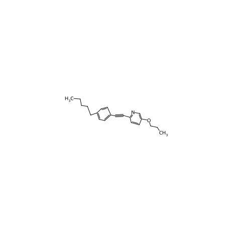 CCCCCc1ccc(C#Cc2ccc(OCCC)cn2)cc1